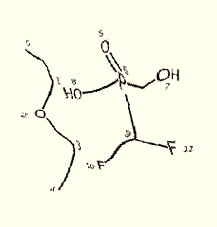 CCOCC.O=P(O)(O)C(F)F